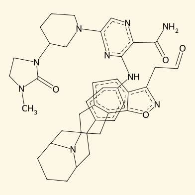 CN1CCN(C2CCCN(c3cnc(C(N)=O)c(Nc4ccc(C5CC6CCCC(C5)N6C5Cc6ccc7c(CC=O)noc7c6C5)cc4)n3)C2)C1=O